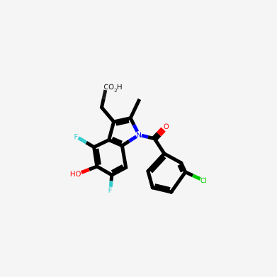 Cc1c(CC(=O)O)c2c(F)c(O)c(F)cc2n1C(=O)c1cccc(Cl)c1